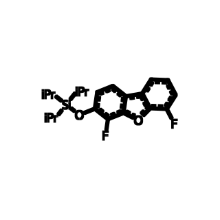 CC(C)[Si](Oc1ccc2c(oc3c(F)cccc32)c1F)(C(C)C)C(C)C